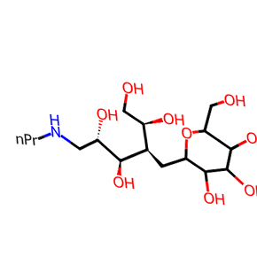 CCCNC[C@H](O)[C@H](O)[C@H](CC1OC(CO)C(O)C(O)C1O)[C@H](O)CO